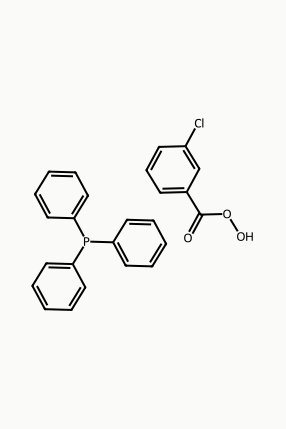 O=C(OO)c1cccc(Cl)c1.c1ccc(P(c2ccccc2)c2ccccc2)cc1